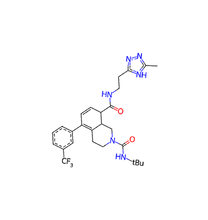 Cc1nnc(CCNC(=O)C2C=CC(c3cccc(C(F)(F)F)c3)=C3CCN(C(=O)NC(C)(C)C)CC32)[nH]1